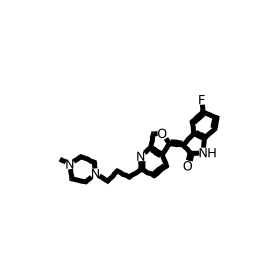 CN1CCN(CCCc2ccc3c(n2)CO/C3=C2/C(=O)Nc3ccc(F)cc32)CC1